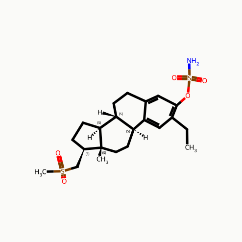 CCc1cc2c(cc1OS(N)(=O)=O)CC[C@@H]1[C@@H]2CC[C@]2(C)[C@@H](CS(C)(=O)=O)CC[C@@H]12